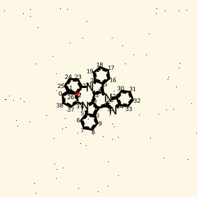 c1ccc(-n2c3ccccc3c3c2c2c(c4ccccc4n2-c2ccccc2)n2c4ccccc4nc32)cc1